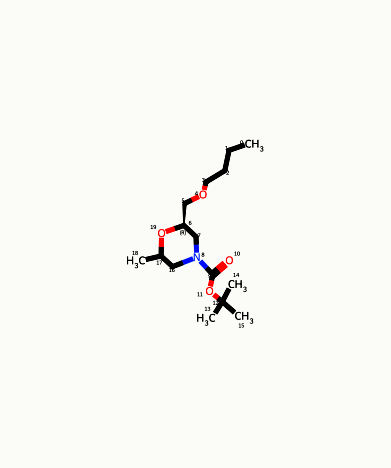 CCCCOC[C@H]1CN(C(=O)OC(C)(C)C)CC(C)O1